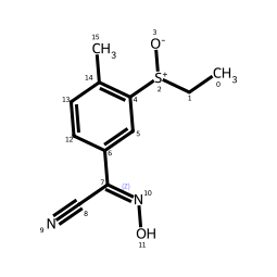 CC[S+]([O-])c1cc(/C(C#N)=N/O)ccc1C